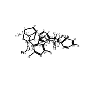 CCO[C@H]1C[C@H]2CC[C@@](c3ccc(C(=O)OC)cc3)(C1)N2Cc1c(C)cc(C)c2c1ccn2S(=O)(=O)c1ccc(C)cc1